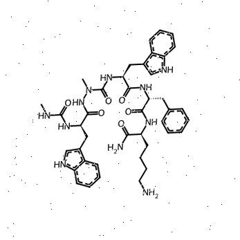 CNC(=O)N[C@H](Cc1c[nH]c2ccccc12)C(=O)NN(C)C(=O)N[C@@H](Cc1c[nH]c2ccccc12)C(=O)N[C@H](Cc1ccccc1)C(=O)N[C@@H](CCCCN)C(N)=O